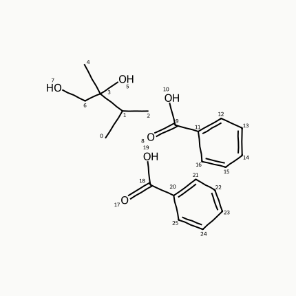 CC(C)C(C)(O)CO.O=C(O)c1ccccc1.O=C(O)c1ccccc1